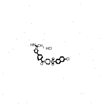 CC(=N)N1CCC(c2ccc(C(=O)N3CCN(S(=O)(=O)c4ccc5cc(Cl)ccc5c4)CC3)cc2)C1.Cl